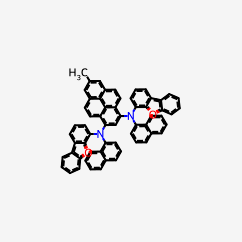 Cc1cc2ccc3c(N(c4cccc5ccccc45)c4cccc5c4oc4ccccc45)cc(N(c4cccc5ccccc45)c4cccc5c4oc4ccccc45)c4ccc(c1)c2c34